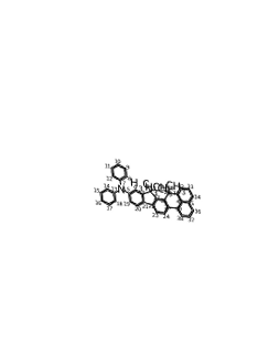 CC1(C)c2cc(N(c3ccccc3)c3ccccc3)ccc2-c2ccc3c(c21)C(C)(C)c1cccc2cccc-3c12